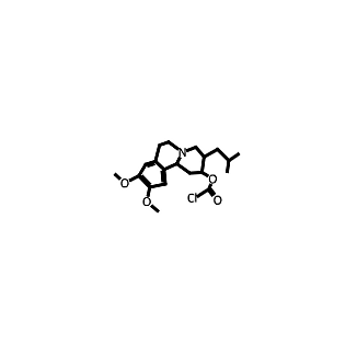 COc1cc2c(cc1OC)C1CC(OC(=O)Cl)C(CC(C)C)CN1CC2